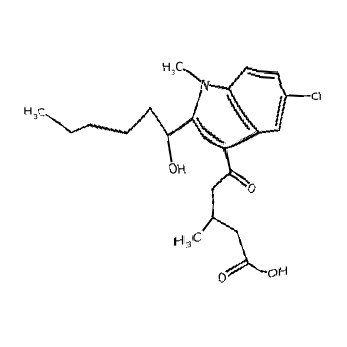 CCCCCC(O)c1c(C(=O)CC(C)CC(=O)O)c2cc(Cl)ccc2n1C